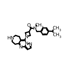 CC(C)c1ccc(CN(C)C(=O)C2CN(c3c4c(nc5ccnn35)CCNCC4)C2)cc1